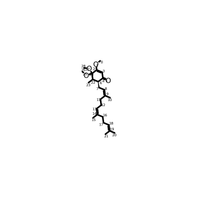 COC1=CC(=O)[C@@H](CC=C(C)CCC=C(C)CCC=C(C)C)C(C)C1(OC)OC